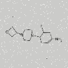 NC1=CCC(N2CCN(C3COC3)CC2)C(F)=C1